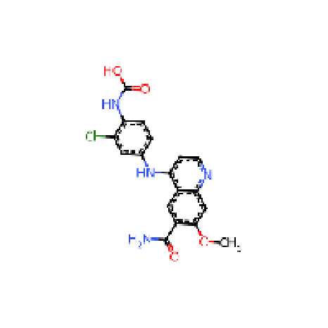 COc1cc2nccc(Nc3ccc(NC(=O)O)c(Cl)c3)c2cc1C(N)=O